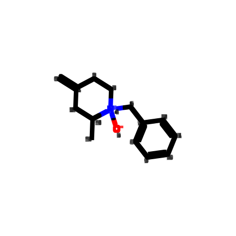 C=C1CC[N+]([O-])(Cc2ccccc2)C(C)C1